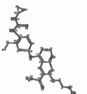 COCCOc1cc2nccc(Oc3ccc(NC(=O)NC4CC4)c(CI)c3)c2cc1C(N)=O